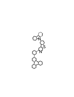 C1=Cc2c(c3ccccc3n2-c2ccc3sc4cnc(-c5cccc(-c6ccc7c8ccccc8c8ccccc8c7c6)c5)cc4c3c2)CC1